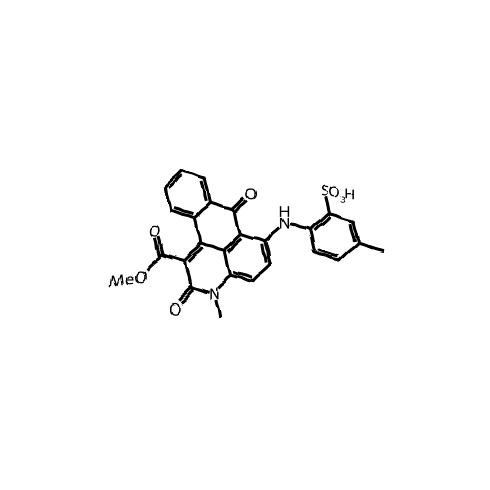 COC(=O)c1c2c3c(c(Nc4ccc(C)cc4S(=O)(=O)O)ccc3n(C)c1=O)C(=O)c1ccccc1-2